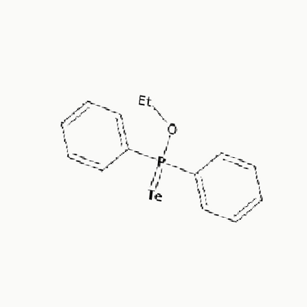 CCOP(=[Te])(c1ccccc1)c1ccccc1